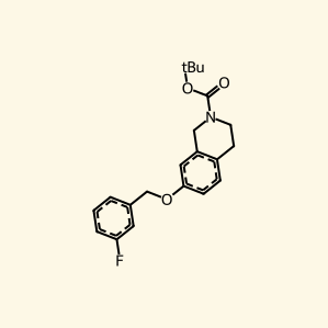 CC(C)(C)OC(=O)N1CCc2ccc(OCc3cccc(F)c3)cc2C1